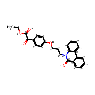 CCOC(=O)C(=O)c1ccc(OCCCn2c(=O)c3ccccc3c3ccccc32)cc1